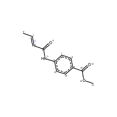 C/C=C/C(=O)Nc1ccc(C(=O)OC)cc1